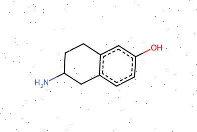 NC1CCc2cc(O)ccc2C1